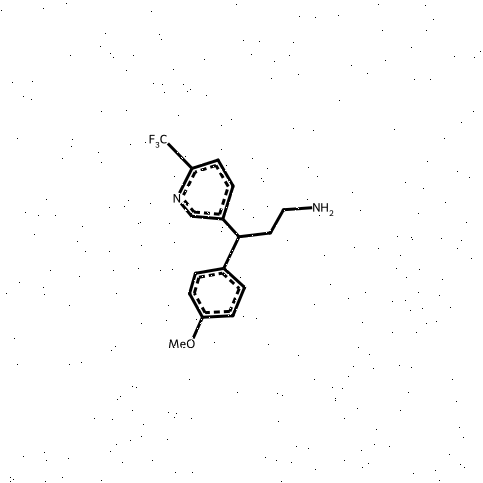 COc1ccc(C(CCN)c2ccc(C(F)(F)F)nc2)cc1